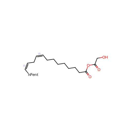 CCCCC/C=C\C/C=C\CCCCCCCC(=O)OC(=O)CO